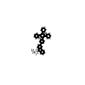 CC1(C)c2ccccc2-c2cc(-c3ccc4c5c6c7c(n8c9c(c(c%10c%11ccccc%11n(c4c3)c%105)c68)C=CCC9)=CCCC=7)ccc21